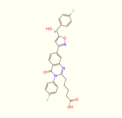 O=C(O)CCCCc1nc2cc(-c3cc([C@H](O)c4ccc(F)cc4)on3)ccc2c(=O)n1-c1ccc(F)cc1